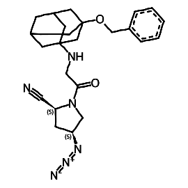 N#C[C@@H]1C[C@H](N=[N+]=[N-])CN1C(=O)CNC12CC3CC(C1)CC(OCc1ccccc1)(C3)C2